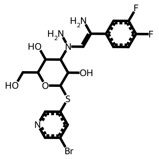 N/C(=C\N(N)C1C(O)C(CO)OC(Sc2cncc(Br)c2)C1O)c1ccc(F)c(F)c1